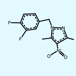 Cc1nn(Cc2ccc(F)c(F)c2)c(C)c1[N+](=O)[O-]